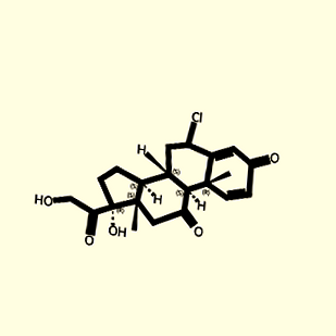 C[C@]12C=CC(=O)C=C1C(Cl)C[C@@H]1[C@@H]2C(=O)C[C@@]2(C)[C@H]1CC[C@]2(O)C(=O)CO